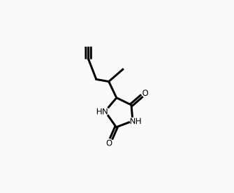 C#CCC(C)C1NC(=O)NC1=O